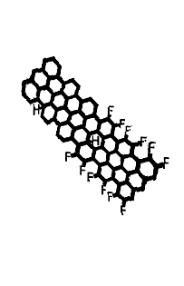 FC1CC2CC3CC(F)C(F)C4C3C3C2C(C1F)C1C(F)C(F)C2C5C(F)C(F)C6C7CCC8C9CCC%10C%11CCCC%12CC%13CCCC%14C%13C(C%12%11)C%11C%10C9C9C%10C8C7C7C8C(CCC(C%12CC[C@H]%14C%11C%129)C8%10)C8C(F)C(F)C9C%10C(F)C(F)C4C4C%10C(C2C1C34)C1C5C6C7[C@@H]8C91